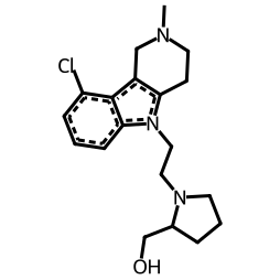 CN1CCc2c(c3c(Cl)cccc3n2CCN2CCCC2CO)C1